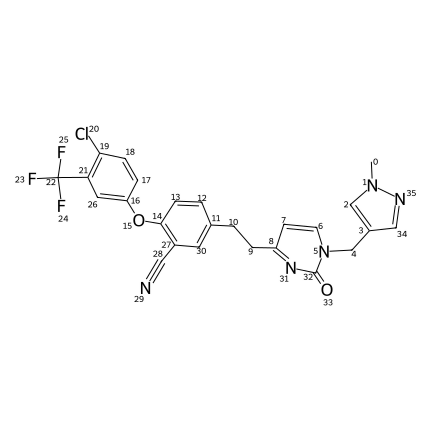 Cn1cc(Cn2ccc(CCc3ccc(Oc4ccc(Cl)c(C(F)(F)F)c4)c(C#N)c3)nc2=O)cn1